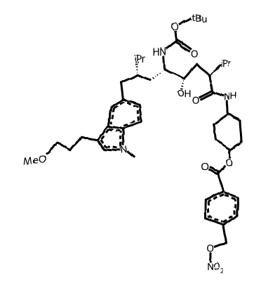 COCCCc1cn(C)c2ccc(C[C@@H](C[C@H](NC(=O)OC(C)(C)C)[C@@H](O)C[C@H](C(=O)NC3CCC(OC(=O)c4ccc(CO[N+](=O)[O-])cc4)CC3)C(C)C)C(C)C)cc12